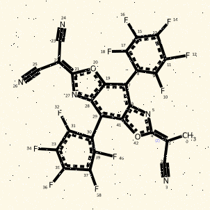 C/C(C#N)=c1\nc2c(-c3c(F)c(F)c(F)c(F)c3F)c3oc(=C(C#N)C#N)nc3c(-c3c(F)c(F)c(F)c(F)c3F)c2o1